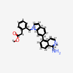 COC(=O)Cc1ccccc1Cn1ccc2ccc(-c3cccc4c(N)nccc34)cc21